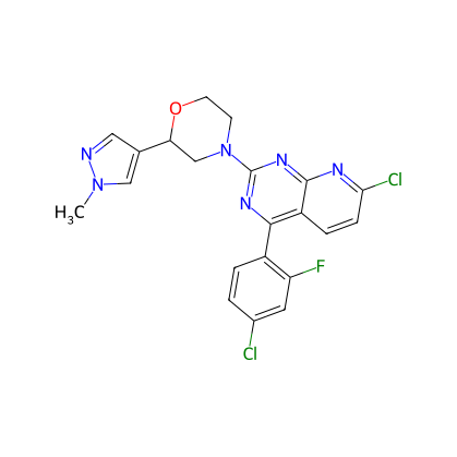 Cn1cc(C2CN(c3nc(-c4ccc(Cl)cc4F)c4ccc(Cl)nc4n3)CCO2)cn1